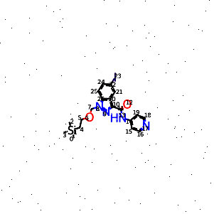 C[Si](C)(C)CCOCn1nc(C(=O)Nc2ccncc2)c2cc(I)ccc21